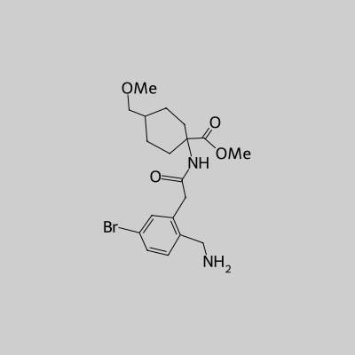 COCC1CCC(NC(=O)Cc2cc(Br)ccc2CN)(C(=O)OC)CC1